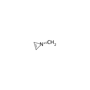 C=[N+]1C=C1